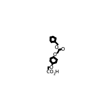 O=C(O)COc1ccc(OCC(=O)OCc2ccccc2)cc1